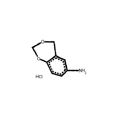 Cl.Nc1ccc2c(c1)COCO2